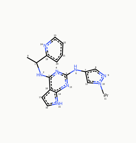 CC(Nc1nc(Nc2cnn(C(C)C)c2)nc2[nH]ccc12)c1ccccn1